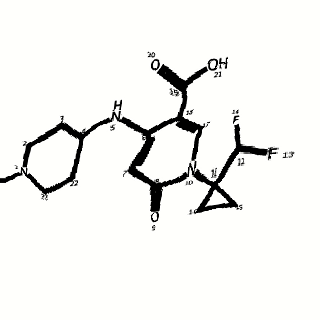 CN1CCC(Nc2cc(=O)n(C3(C(F)F)CC3)cc2C(=O)O)CC1